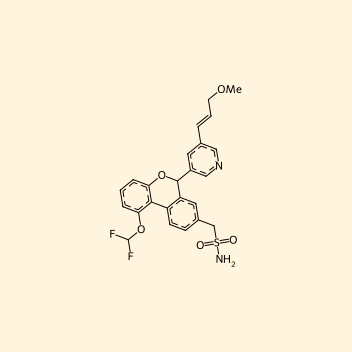 COC/C=C/c1cncc(C2Oc3cccc(OC(F)F)c3-c3ccc(CS(N)(=O)=O)cc32)c1